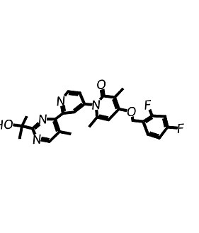 Cc1cnc(C(C)(C)O)nc1-c1cc(-n2c(C)cc(OCc3ccc(F)cc3F)c(C)c2=O)ccn1